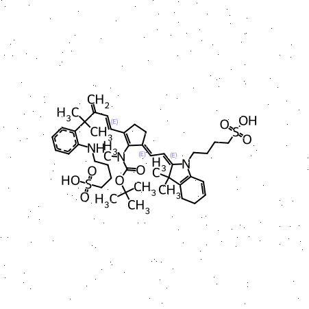 C=C(/C=C/C1=C(N(C)C(=O)OC(C)(C)C)C(=C/C=C2/N(CCCCS(=O)(=O)O)C3=C(CCC=C3)C2(C)C)/CC1)C(C)(C)c1ccccc1NCCCCS(=O)(=O)O